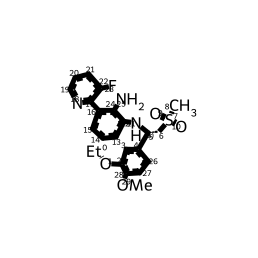 CCOc1cc([C@@H](CS(C)(=O)=O)Nc2cccc(-c3ncccc3F)c2N)ccc1OC